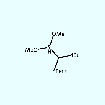 CCCCCC([SiH](OC)OC)C(C)(C)C